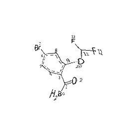 BC(=O)c1ccc(Br)cc1OC(F)F